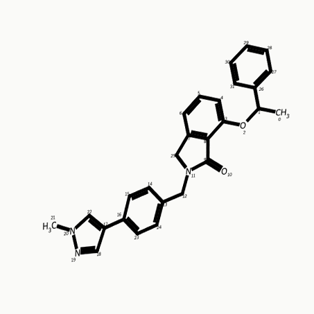 CC(Oc1cccc2c1C(=O)N(Cc1ccc(-c3cnn(C)c3)cc1)C2)c1ccccc1